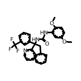 COc1ccc(OC)c(NC(=O)NC(Cc2ccccc2)(c2cccc(C(F)(F)F)c2)c2ccccn2)c1